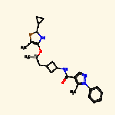 CC1=C(O[C@@H](C)CC2CC(NC(=O)c3cnn(-c4ccccc4)c3C)C2)NC(C2CC2)S1